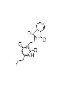 CCCc1cc(=O)n(CCN2C(=O)c3ccccc3C2=O)c(=O)[nH]1